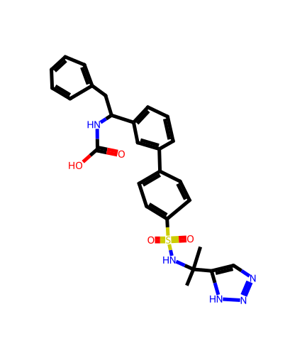 CC(C)(NS(=O)(=O)c1ccc(-c2cccc(C(Cc3ccccc3)NC(=O)O)c2)cc1)c1cnn[nH]1